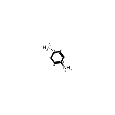 C[C@@H]1C=CC(N)=CC1